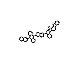 c1ccc2cc(-c3c4ccccc4c(-c4ccc5cc(-c6cc7sc8c(ccc9c%10ccccc%10sc98)c7c7ccccc67)ccc5c4)c4ccccc34)ccc2c1